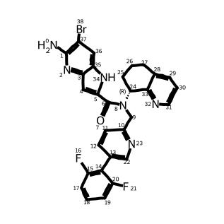 Nc1nc2cc(C(=O)N(Cc3ccc(-c4c(F)cccc4F)cn3)[C@@H]3CCCc4cccnc43)[nH]c2cc1Br